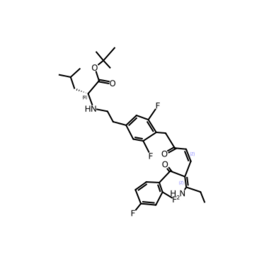 CC/C(N)=C(\C=C/C(=O)Cc1c(F)cc(CCN[C@H](CC(C)C)C(=O)OC(C)(C)C)cc1F)C(=O)c1ccc(F)cc1F